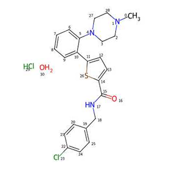 CN1CCN(c2ccccc2-c2ccc(C(=O)NCc3ccc(Cl)cc3)s2)CC1.Cl.O